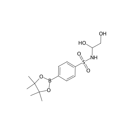 CC1(C)OB(c2ccc(S(=O)(=O)NC(O)CO)cc2)OC1(C)C